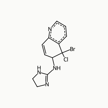 ClC1(Br)c2cccnc2C=CC1NC1=NCCN1